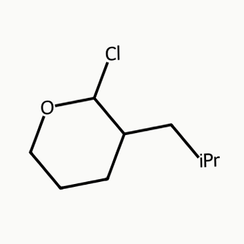 CC(C)CC1CCCOC1Cl